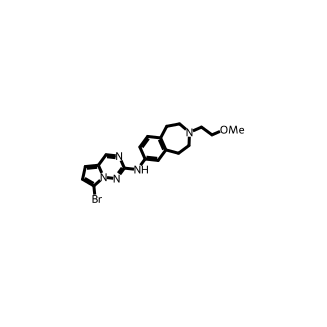 COCCN1CCc2ccc(Nc3ncc4ccc(Br)n4n3)cc2CC1